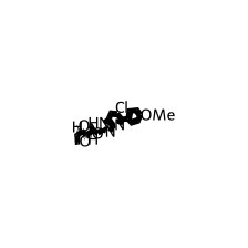 COc1ccc(-c2nc3nc(OC4CO[C@@H]5CCO[C@H]45)[nH]c3cc2Cl)cc1